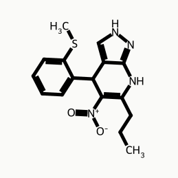 CCCC1=C([N+](=O)[O-])C(c2ccccc2SC)c2c[nH]nc2N1